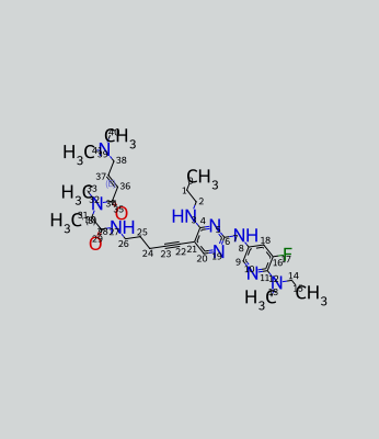 CCCNc1nc(Nc2cnc(N(C)CC)c(F)c2)ncc1C#CCCCNC(=O)[C@H](C)N(C)C(=O)/C=C/CN(C)C